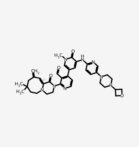 C=C1/C=C2/C(=O)N(c3nccc(-c4cc(Nc5ccc(N6CCN(C7COC7)CC6)cn5)c(=O)n(C)c4)c3C=O)CCN2CCC(C)(C)C1